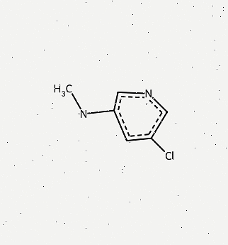 C[N]c1cncc(Cl)c1